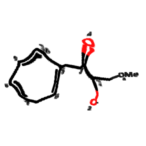 COC([O])C(=O)c1ccccc1